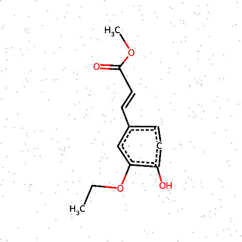 CCOc1cc(C=CC(=O)OC)ccc1O